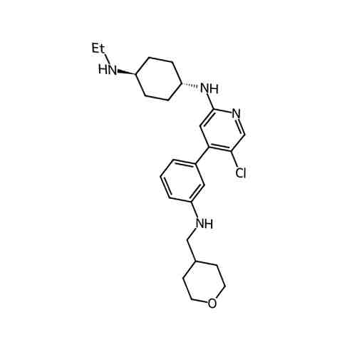 CCN[C@H]1CC[C@H](Nc2cc(-c3cccc(NCC4CCOCC4)c3)c(Cl)cn2)CC1